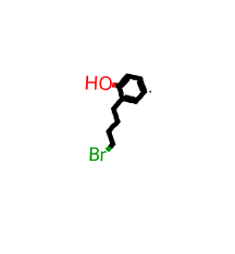 Oc1cc[c]cc1CCCCBr